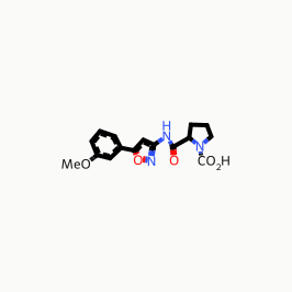 COc1cccc(-c2cc(NC(=O)C3CCCN3C(=O)O)no2)c1